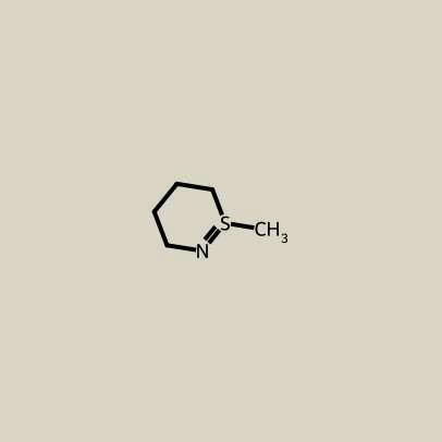 CS1=NCCCC1